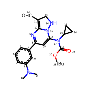 CN(C)c1cccc(C2=NC3=C(C=O)CNN3C(N(C(=O)OC(C)(C)C)C3CC3)=C2)c1